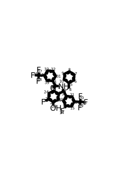 O=C(N[C@@](Cc1ccccc1)(c1cc(F)cc(C(F)(F)F)c1)c1ccc(F)c(O)c1)c1cccc(C(F)(F)F)c1